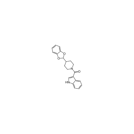 O=C(c1c[nH]c2ccccc12)N1CCC(C2Oc3ccccc3O2)CC1